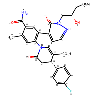 COC[C@H](O)Cn1nccc(-c2cc(C(N)=O)c(C)cc2N2C=C(C(=O)O)[C@H](c3ccc(F)cc3)CC2=O)c1=O